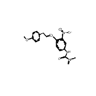 COc1ccc(CCOc2ccc(NC(=O)N(C)C)cc2[N+](=O)[O-])cc1